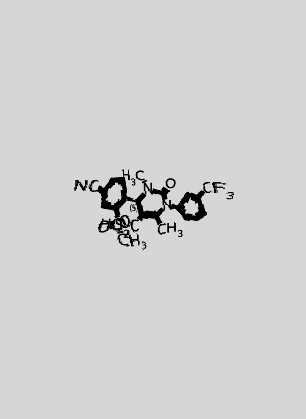 CC1=C(C(=O)O)[C@@H](c2ccc(C#N)cc2S(C)(=O)=O)N(C)C(=O)N1c1cccc(C(F)(F)F)c1